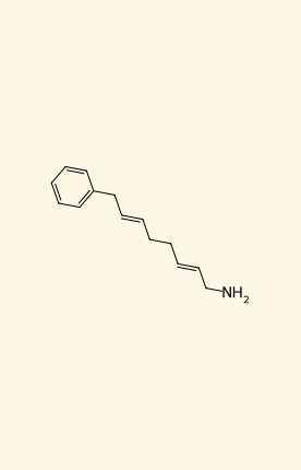 NCC=CCCC=CCc1ccccc1